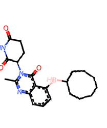 Cc1nc2cccc(BC3CCCCCCC3)c2c(=O)n1[C@@H]1CCC(=O)NC1=O